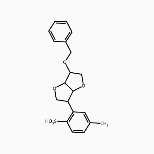 Cc1ccc(S(=O)(=O)O)c(C2COC3C(OCc4ccccc4)COC23)c1